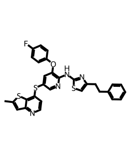 Cc1cc2nccc(Sc3cnc(Nc4nc(CCc5ccccc5)cs4)c(Oc4ccc(F)cc4)c3)c2s1